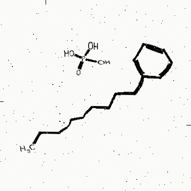 CCCCCCCCCc1ccccc1.O=P(O)(O)O